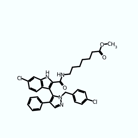 COC(=O)CCCCCCNC(=O)c1[nH]c2cc(Cl)ccc2c1-c1c(-c2ccccc2)cnn1Cc1ccc(Cl)cc1